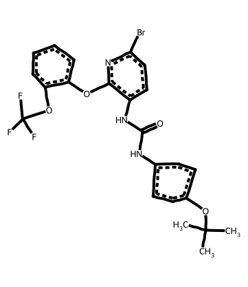 CC(C)(C)Oc1ccc(NC(=O)Nc2ccc(Br)nc2Oc2ccccc2OC(F)(F)F)cc1